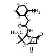 CC1(C)S[C@@H]2CC(=O)N2[C@@]1(NC(=O)CC1=C(N)CCC=C1)C(=O)O